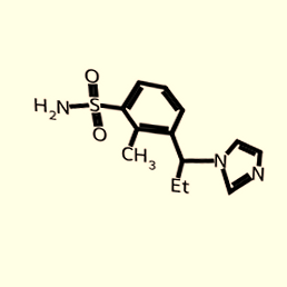 CCC(c1cccc(S(N)(=O)=O)c1C)n1ccnc1